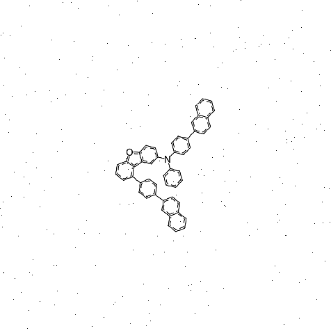 c1ccc(N(c2ccc(-c3ccc4ccccc4c3)cc2)c2ccc3oc4cccc(-c5ccc(-c6ccc7ccccc7c6)cc5)c4c3c2)cc1